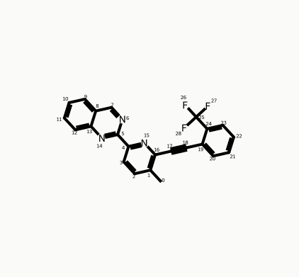 Cc1ccc(-c2ncc3ccccc3n2)nc1C#Cc1ccccc1C(F)(F)F